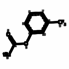 CC(C)(C)C(=O)Oc1cccc(C(F)(F)F)c1